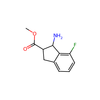 COC(=O)C1Cc2cccc(F)c2C1N